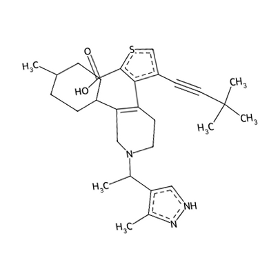 Cc1n[nH]cc1C(C)N1CCC(c2c(C#CC(C)(C)C)csc2C(=O)O)=C(C2CCC(C)CC2)C1